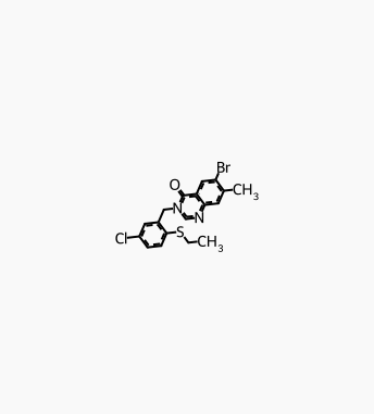 CCSc1ccc(Cl)cc1Cn1cnc2cc(C)c(Br)cc2c1=O